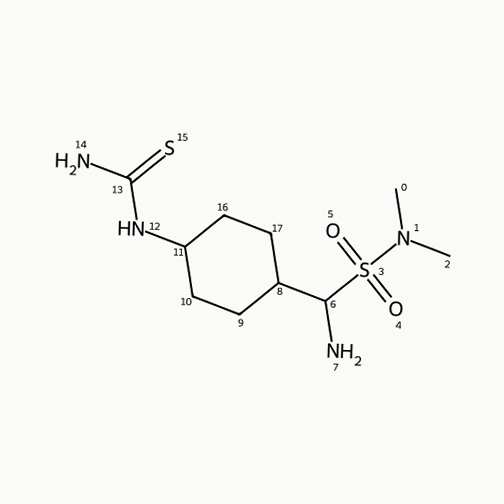 CN(C)S(=O)(=O)C(N)C1CCC(NC(N)=S)CC1